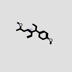 C=C/C(=C\CC(C)OC)C(CC)C1=CC=C(OC)CC1